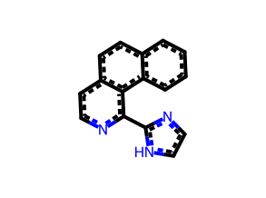 c1ccc2c(c1)ccc1ccnc(-c3ncc[nH]3)c12